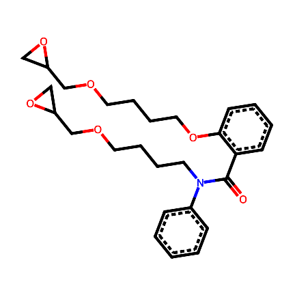 O=C(c1ccccc1OCCCCOCC1CO1)N(CCCCOCC1CO1)c1ccccc1